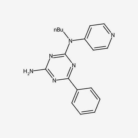 CCCCN(c1ccncc1)c1nc(N)nc(-c2ccccc2)n1